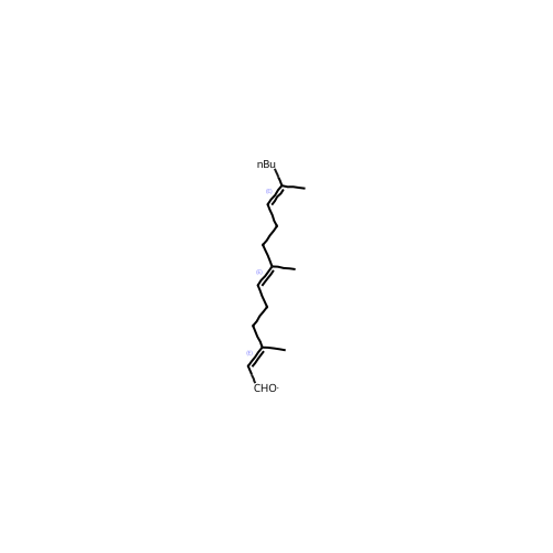 CCCC/C(C)=C/CC/C(C)=C/CC/C(C)=C/[C]=O